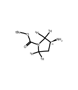 [2H]C1([2H])C[C@H](N)C([2H])([2H])N1C(=O)OC(C)(C)C